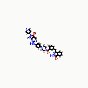 Cn1c2nc(Nc3ccc(N4CCN(C(=O)c5cc(Cc6n[nH]c(=O)c7ccccc67)ccc5F)CC4)cc3)ncc2c(=O)n1-c1ccncc1